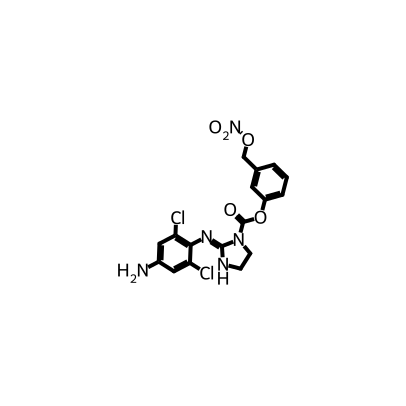 Nc1cc(Cl)c(/N=C2\NCCN2C(=O)Oc2cccc(CO[N+](=O)[O-])c2)c(Cl)c1